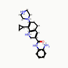 Nc1ccccc1NC(=O)C1=CC2=C(NC1)C(C1CC1)=C(N1CCNCC1)CC2